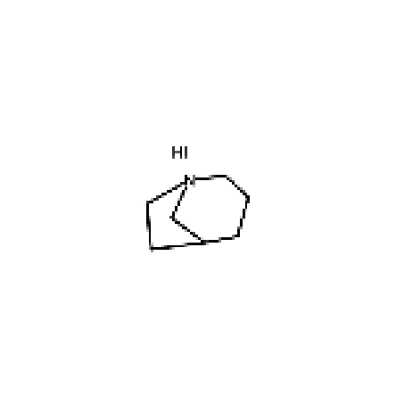 C1CC2CCN(C1)C2.I